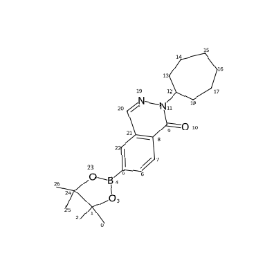 CC1(C)OB(c2ccc3c(=O)n(C4CCCCCC4)ncc3c2)OC1(C)C